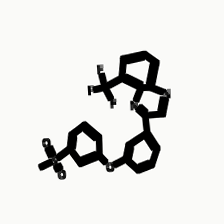 CS(=O)(=O)c1cccc(Oc2cccc(-c3cnc4cccc(C(F)(F)F)c4n3)c2)c1